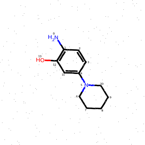 Nc1ccc(N2CCCCC2)cc1O